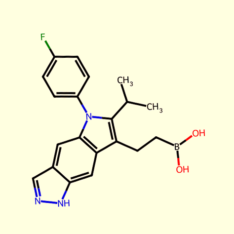 CC(C)c1c(CCB(O)O)c2cc3[nH]ncc3cc2n1-c1ccc(F)cc1